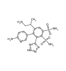 CC(CN)c1cc(S(N)(=O)=O)c(S(N)(=O)=O)c(-c2nn[nH]n2)c1-c1ccc(N)nc1